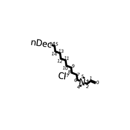 C=CC[N+](C)(C)CCCCCCCCCCCCCCCCCCCC.[Cl-]